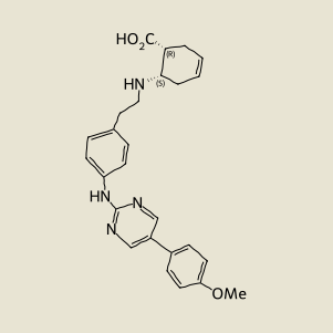 COc1ccc(-c2cnc(Nc3ccc(CCN[C@H]4CC=CC[C@H]4C(=O)O)cc3)nc2)cc1